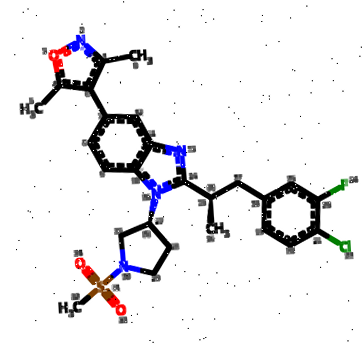 Cc1noc(C)c1-c1ccc2c(c1)nc([C@H](C)Cc1ccc(Cl)c(F)c1)n2[C@H]1CCN(S(C)(=O)=O)C1